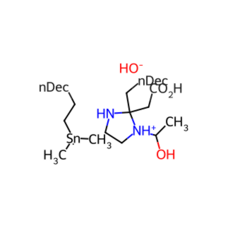 CCCCCCCCCCCC1(CC(=O)O)NCC[NH+]1C(C)O.CCCCCCCCCCC[CH2][Sn]([CH3])[CH3].[OH-]